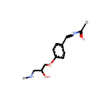 CCC(=O)NC=Cc1ccc(OCC(O)CNC(C)C)cc1